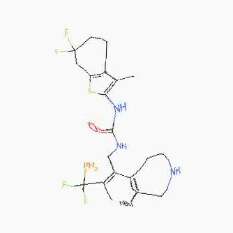 CCCCC1=C(/C(CNC(=O)Nc2sc3c(c2C)CCC(F)(F)C3)=C(\C)C(F)(F)P)CCNC1